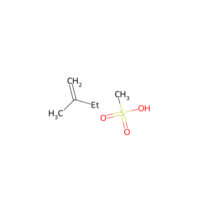 C=C(C)CC.CS(=O)(=O)O